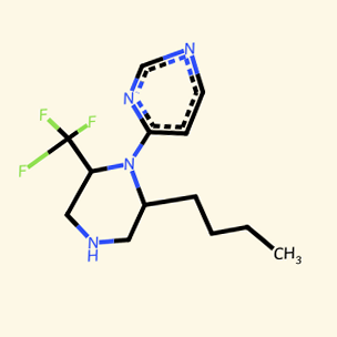 CCCCC1CNCC(C(F)(F)F)N1c1ccncn1